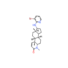 CN1C(=O)C=C[C@@]2(C)C1CC[C@@H]1[C@H]2CC[C@]2(C)C(Nc3ncccc3Br)CC[C@@H]12